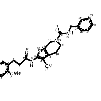 COc1ccccc1CCC(=O)Nc1sc2c(c1C#N)CCN(C(=O)NCc1cccnc1)C2